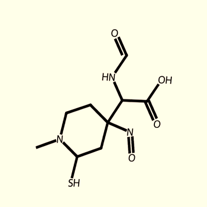 CN1CCC(N=O)(C(NC=O)C(=O)O)CC1S